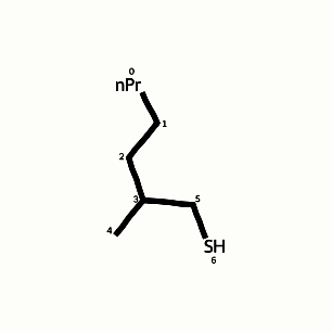 CCCCCC(C)CS